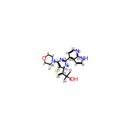 C[C@@H]1COCCN1c1nc(-c2ccnc3[nH]ccc23)nc2c(C(C)(C)O)csc12